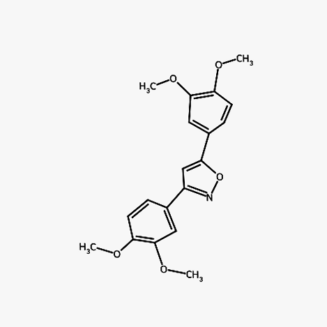 COc1ccc(-c2cc(-c3ccc(OC)c(OC)c3)on2)cc1OC